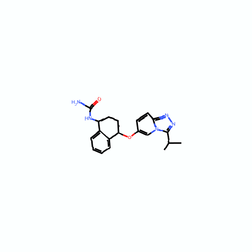 CC(C)c1nnc2ccc(OC3CCC(NC(N)=O)c4ccccc43)cn12